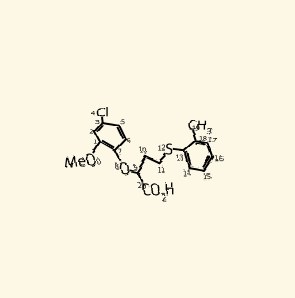 COc1cc(Cl)ccc1OC(CCSc1ccccc1C)C(=O)O